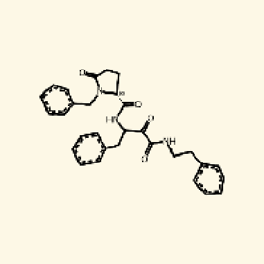 O=C(NCCc1ccccc1)C(=O)C(Cc1ccccc1)NC(=O)[C@H]1CCC(=O)N1Cc1ccccc1